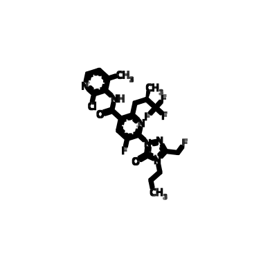 CCCn1c(CF)nn(-c2nc(C[C@@H](C)C(F)(F)F)c(C(=O)Nc3c(C)ccnc3Cl)cc2F)c1=O